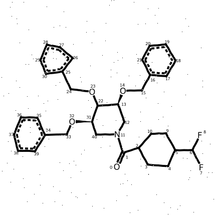 O=C(C1CCC(C(F)F)CC1)N1C[C@H](OCc2ccccc2)C(OCc2ccccc2)[C@H](OCc2ccccc2)C1